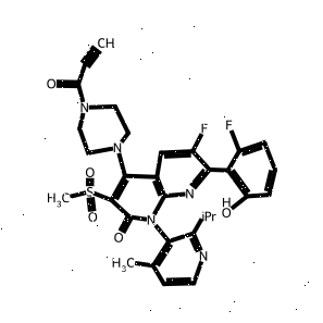 C#CC(=O)N1CCN(c2c(S(C)(=O)=O)c(=O)n(-c3c(C)ccnc3C(C)C)c3nc(-c4c(O)cccc4F)c(F)cc23)CC1